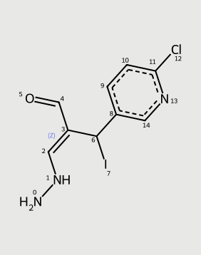 NN/C=C(/C=O)C(I)c1ccc(Cl)nc1